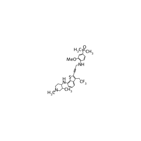 COc1cc(P(C)(C)=O)ccc1NCC#Cc1sc2c(NC3CCN(C)CC3C)cccc2c1CC(F)(F)F